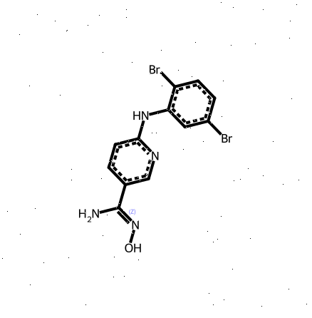 N/C(=N\O)c1ccc(Nc2cc(Br)ccc2Br)nc1